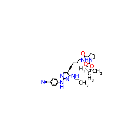 CCCNc1nc(Nc2ccc(C#N)cc2)ncc1C#CCCCNC(=O)[C@@H]1CCCN1C(=O)OC(C)(C)C